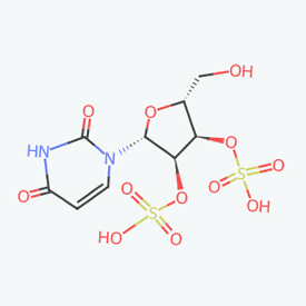 O=c1ccn([C@@H]2O[C@H](CO)[C@@H](OS(=O)(=O)O)[C@H]2OS(=O)(=O)O)c(=O)[nH]1